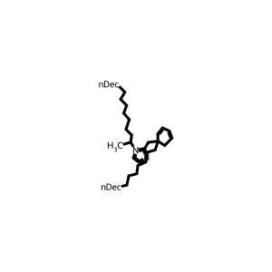 CCCCCCCCCCCCCCCCCC(C)n1ccnc1CC1(CCCCCCCCCCCCCCCCC)C=CC=CC1